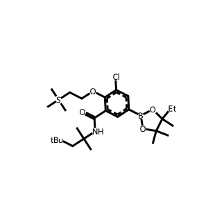 CCC1(C)OB(c2cc(Cl)c(OCCS(C)(C)C)c(C(=O)NC(C)(C)CC(C)(C)C)c2)OC1(C)C